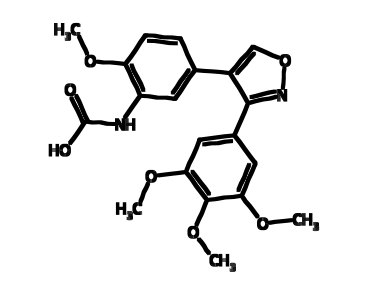 COc1ccc(-c2conc2-c2cc(OC)c(OC)c(OC)c2)cc1NC(=O)O